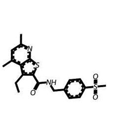 CCc1c(C(=O)NCc2ccc(S(C)(=O)=O)cc2)sc2nc(C)cc(C)c12